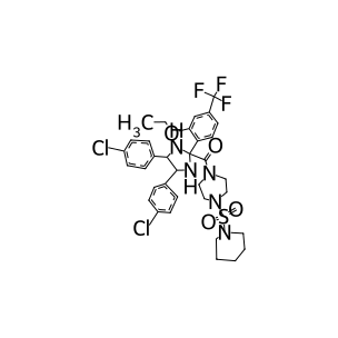 CCOc1cc(C(F)(F)F)ccc1C1(C(=O)N2CCN(S(=O)(=O)N3CCCCC3)CC2)NC(c2ccc(Cl)cc2)C(c2ccc(Cl)cc2)N1